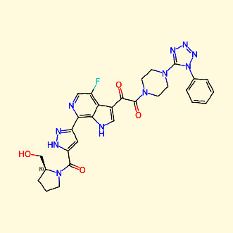 O=C(C(=O)N1CCN(c2nnnn2-c2ccccc2)CC1)c1c[nH]c2c(-c3cc(C(=O)N4CCC[C@H]4CO)[nH]n3)ncc(F)c12